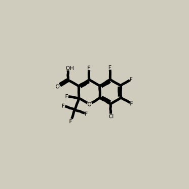 O=C(O)C1=C(F)c2c(F)c(F)c(F)c(Cl)c2OC1(F)C(F)(F)F